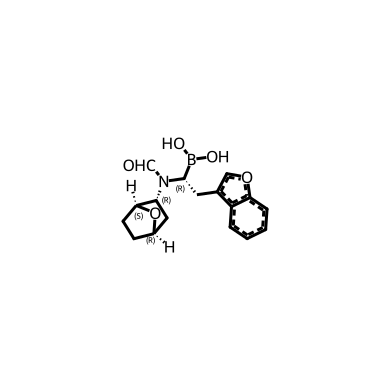 O=CN([C@@H]1C[C@H]2CC[C@@H]1O2)[C@@H](Cc1coc2ccccc12)B(O)O